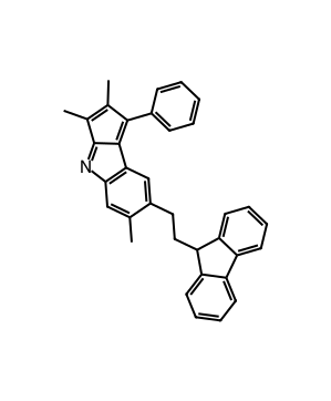 CC1=C(C)C(c2ccccc2)=C2C1=Nc1cc(C)c(CCC3c4ccccc4-c4ccccc43)cc12